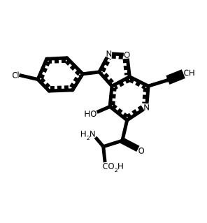 C#Cc1nc(C(=O)C(N)C(=O)O)c(O)c2c(-c3ccc(Cl)cc3)noc12